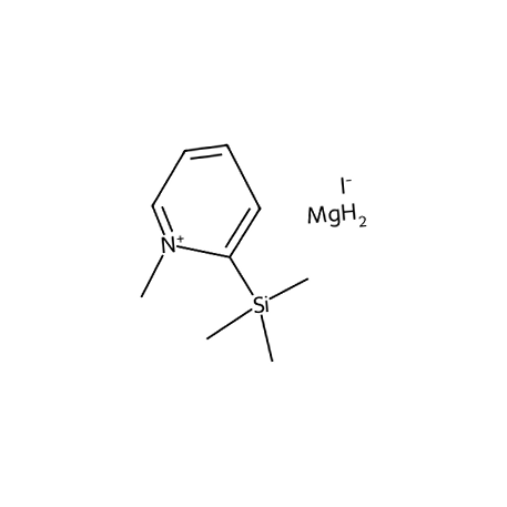 C[n+]1ccccc1[Si](C)(C)C.[I-].[MgH2]